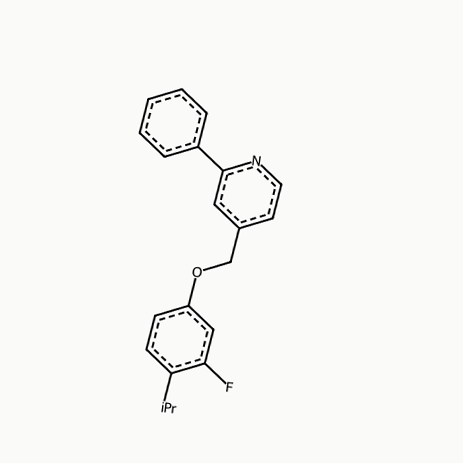 CC(C)c1ccc(OCc2ccnc(-c3ccccc3)c2)cc1F